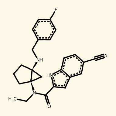 CCN(C(=O)c1cc2cc(C#N)ccc2[nH]1)[C@@]12CCC[C@]1(NCc1ccc(F)cc1)C2